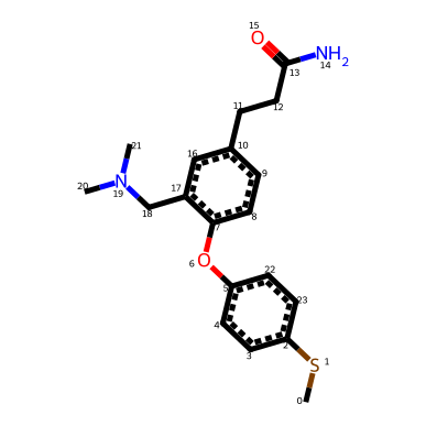 CSc1ccc(Oc2ccc(CCC(N)=O)cc2CN(C)C)cc1